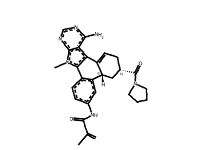 C=C(C)C(=O)Nc1ccc2c(c1)[C@H]1C[C@@H](C(=O)N3CCCC3)CC=C1c1c-2n(C)c2ncnc(N)c12